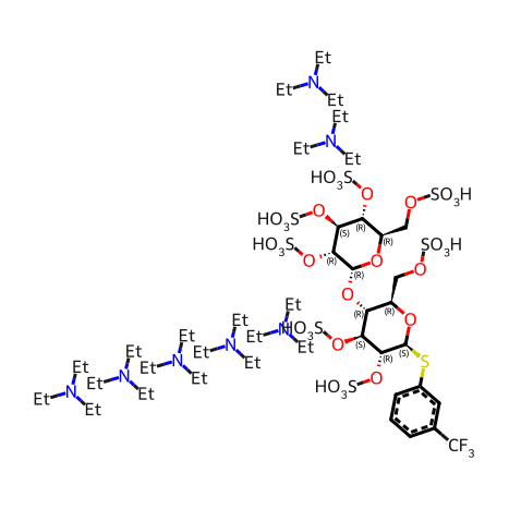 CCN(CC)CC.CCN(CC)CC.CCN(CC)CC.CCN(CC)CC.CCN(CC)CC.CCN(CC)CC.CCN(CC)CC.O=S(=O)(O)OC[C@H]1O[C@@H](Sc2cccc(C(F)(F)F)c2)[C@H](OS(=O)(=O)O)[C@@H](OS(=O)(=O)O)[C@@H]1O[C@H]1O[C@H](COS(=O)(=O)O)[C@@H](OS(=O)(=O)O)[C@H](OS(=O)(=O)O)[C@H]1OS(=O)(=O)O